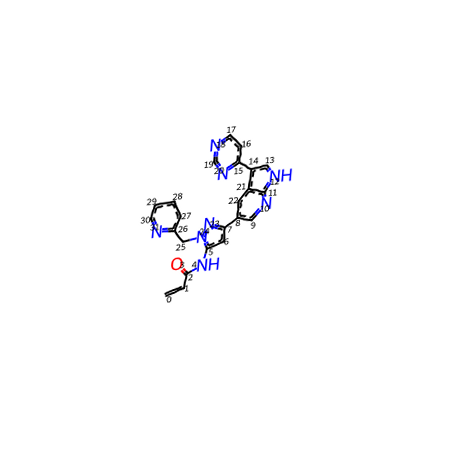 C=CC(=O)Nc1cc(-c2cnc3[nH]cc(-c4ccncn4)c3c2)nn1Cc1ccccn1